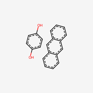 Oc1ccc(O)cc1.c1ccc2cc3ccccc3cc2c1